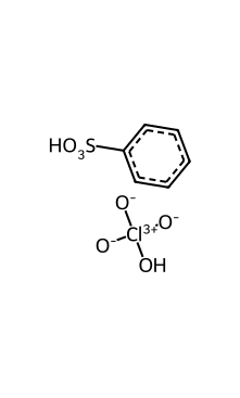 O=S(=O)(O)c1ccccc1.[O-][Cl+3]([O-])([O-])O